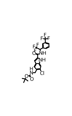 CC(C)(C)OC(=O)NCc1cc2cc(C(=O)NC(c3cccc(C(F)(F)F)c3)C(F)(F)F)[nH]c2cc1Cl